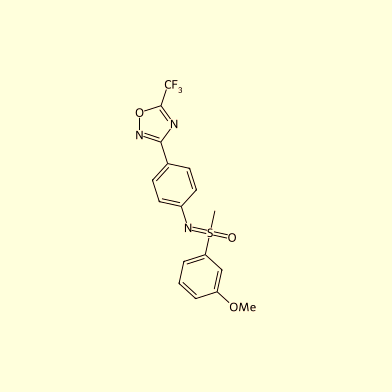 COc1cccc(S(C)(=O)=Nc2ccc(-c3noc(C(F)(F)F)n3)cc2)c1